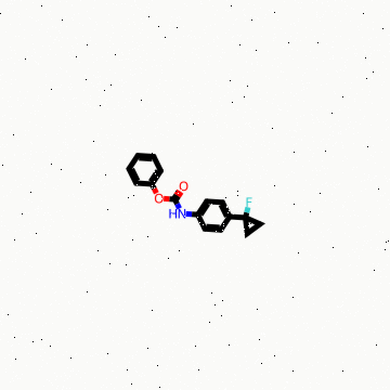 O=C(Nc1ccc(C2(F)CC2)cc1)Oc1ccccc1